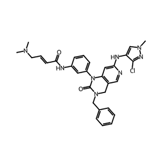 CN(C)C/C=C/C(=O)Nc1cccc(N2C(=O)N(Cc3ccccc3)Cc3cnc(Nc4cn(C)nc4Cl)cc32)c1